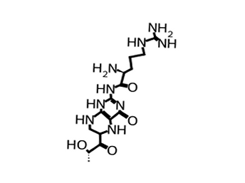 C[C@H](O)C(=O)C1CNc2[nH]c(NC(=O)[C@@H](N)CCCNC(=N)N)nc(=O)c2N1